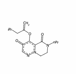 C=C(CC(C)C)Oc1c2n(ncc1=O)CCN(CCC)C2=O